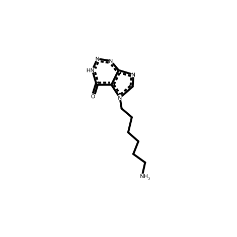 NCCCCCCn1cnc2nn[nH]c(=O)c21